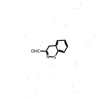 O=CC1=NSc2ccccc2C1